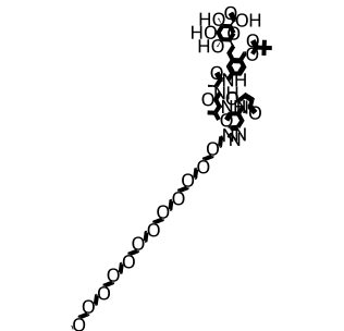 COCCOCCOCCOCCOCCOCCOCCOCCOCCOCCOCCOCCn1cc(CC(C(=O)N[C@H](C(=O)N[C@@H](C)C(=O)Nc2ccc(COC(=O)C(C)(C)C)c(CC[C@@H]3O[C@H](C(=O)O)[C@@H](O)[C@H](O)[C@H]3O)c2)C(C)C)N2C(=O)C=CC2=O)nn1